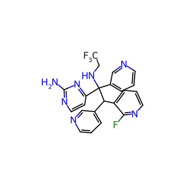 Nc1nccc(C(NCC(F)(F)F)(c2cccnc2)C(c2cccnc2)c2cccnc2F)n1